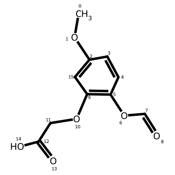 COc1ccc(OC=O)c(OCC(=O)O)c1